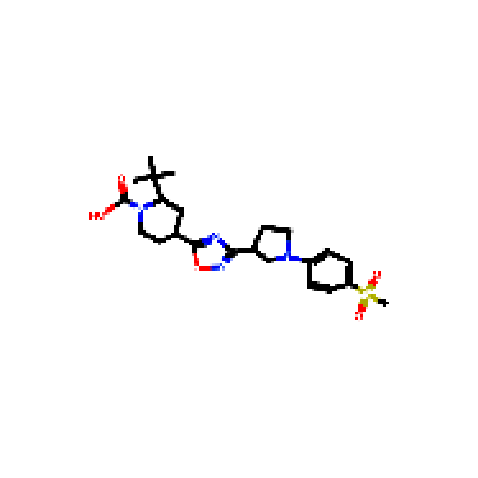 CC(C)(C)C1CC(c2nc(C3CCN(c4ccc(S(C)(=O)=O)cc4)C3)no2)CCN1C(=O)O